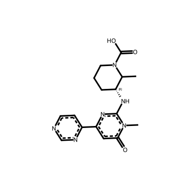 CC1[C@H](Nc2nc(-c3ccncn3)cc(=O)n2C)CCCN1C(=O)O